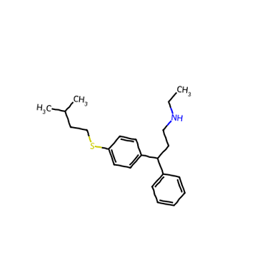 CCNCCC(c1ccccc1)c1ccc(SCCC(C)C)cc1